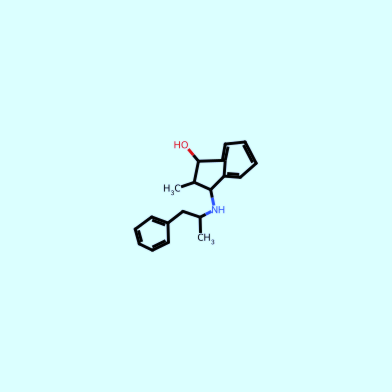 CC(Cc1ccccc1)NC1c2ccccc2C(O)C1C